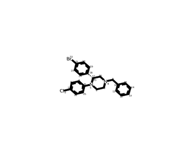 Clc1ccc(N2CCN(Cc3ccccc3)C[C@H]2c2ccc(Br)cc2)cc1